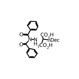 CCCCCCCCCCC(C(=O)O)C(=O)O.NN(C(=O)c1ccccc1)C(=O)c1ccccc1